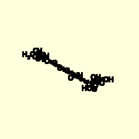 CC(C)(C)OC(=O)NCCOCCOCCOCCOCCC(=O)NCCCCCCOC1(C(=O)O)CC(O)C(NC(=O)CO)CO1